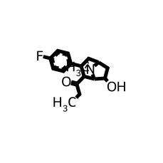 CCC(=O)C1C(c2ccc(F)cc2)CC2CC(O)C1N2C